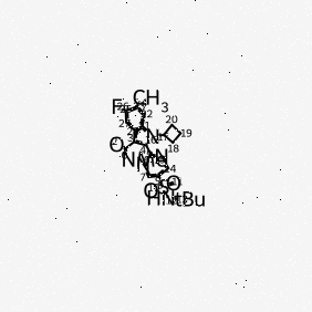 CNC(=O)c1c(-c2ncc(S(=O)(=O)NC(C)(C)C)cn2)n(C2CCC2)c2cc(C)c(F)cc12